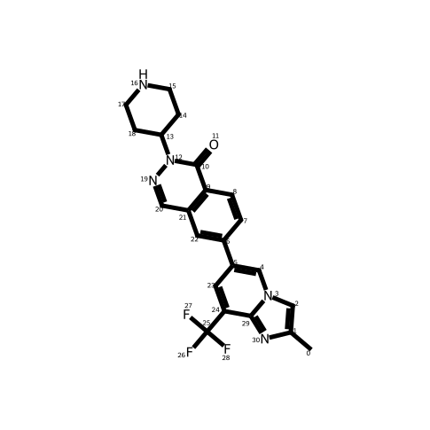 Cc1cn2cc(-c3ccc4c(=O)n(C5CCNCC5)ncc4c3)cc(C(F)(F)F)c2n1